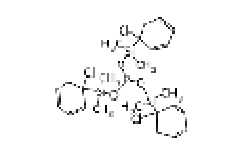 C[Si](C)(OP(O[Si](C)(C)C1(Cl)C=CC=CC1)O[Si](C)(C)C1(Cl)C=CC=CC1)C1(Cl)C=CC=CC1